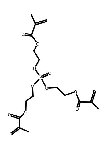 C=C(C)C(=O)OCCOP(=O)(OCCOC(=O)C(=C)C)OCCOC(=O)C(=C)C